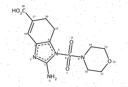 Nc1nc2c(n1S(=O)(=O)N1CCOCC1)CCC(C(=O)O)=C2